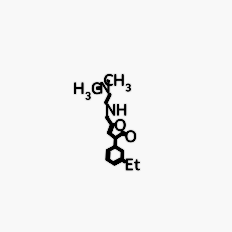 CCC1=CC=CC(C2C=C(CNCCN(C)C)OC2=O)C1